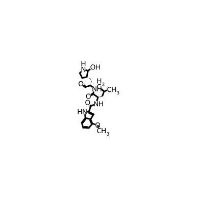 COc1cccc2[nH]c(C(=O)N[C@@H](CC(C)C)C(=O)N[C@H](C=O)C[C@@H]3CCNC3O)cc12